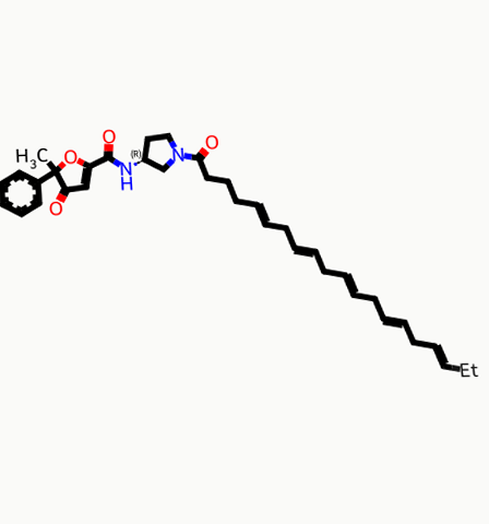 CCC=CCC=CCC=CCC=CCC=CCCCC(=O)N1CC[C@@H](NC(=O)C2=CC(=O)C(C)(c3ccccc3)O2)C1